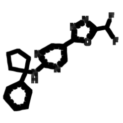 FC(F)c1nnc(-c2cnc(NC3(c4ccccc4)CCCC3)nc2)o1